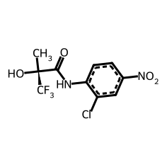 C[C@@](O)(C(=O)Nc1ccc([N+](=O)[O-])cc1Cl)C(F)(F)F